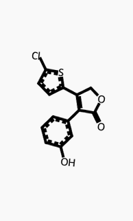 O=C1OCC(c2ccc(Cl)s2)=C1c1cccc(O)c1